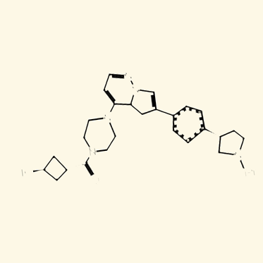 CC(C)N1CC[C@H](c2ccc(C3=CN4N=CC=C(N5CCN(C(=O)[C@H]6C[C@H](O)C6)CC5)C4C3)cc2)C1